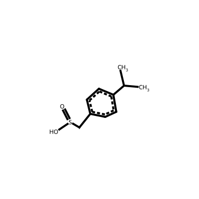 CC(C)c1ccc([CH]S(=O)O)cc1